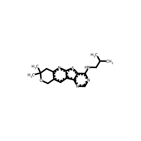 CC(C)CNc1ncnc2c1sc1nc3c(cc12)COC(C)(C)C3